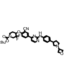 CC(C)(C)OC(=O)N1CCC(Oc2ccc(-c3ccnc(Nc4ccc(C5CCN(C6COC6)C5)cc4)n3)cc2C#N)C(F)(F)C1